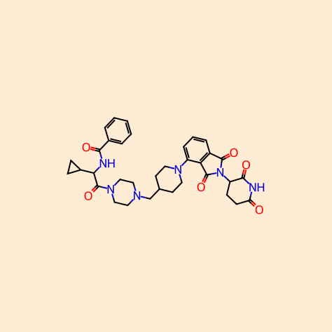 O=C1CCC(N2C(=O)c3cccc(N4CCC(CN5CCN(C(=O)C(NC(=O)c6ccccc6)C6CC6)CC5)CC4)c3C2=O)C(=O)N1